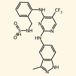 Cc1n[nH]c2ccc(Nc3ncc(C(F)(F)F)c(Nc4ccccc4CN[SH](=O)=O)n3)cc12